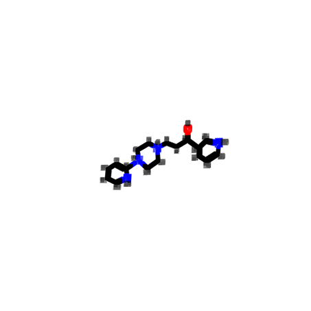 O=C(CCN1CCN(c2ccccn2)CC1)c1cccnc1